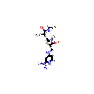 CCNc1cc(NC=C=c2sc(=C=C(C#N)C(=O)NCC#N)n(CC)c2=O)ccn1